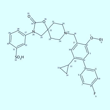 CCOc1cc(-c2ccc(F)cc2)c(C2CC2)cc1CN1CCC2(CC1)CN(c1cccc(S(=O)(=O)O)c1)C(=O)O2